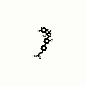 CC(c1ccc(-c2ccc(CCC(=O)O)cc2)cc1Cl)C(O)(c1ccnc(Cl)c1)C(F)(F)F